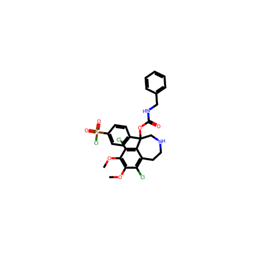 COc1c(Cl)c2c(c(Cl)c1OC)C(OC(=O)NCc1ccccc1)(c1ccc(S(=O)(=O)Cl)cc1)CNCC2